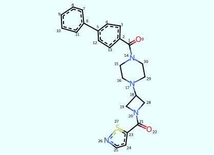 O=C(c1ccc(-c2ccccc2)cc1)N1CCN(C2CN(C(=O)c3ccns3)C2)CC1